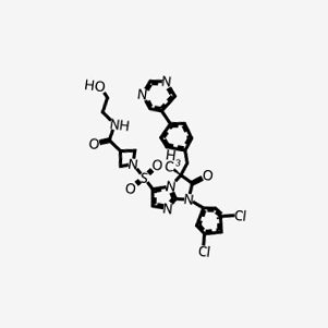 C[C@@]1(Cc2ccc(-c3cncnc3)cc2)C(=O)N(c2cc(Cl)cc(Cl)c2)c2ncc(S(=O)(=O)N3CC(C(=O)NCCO)C3)n21